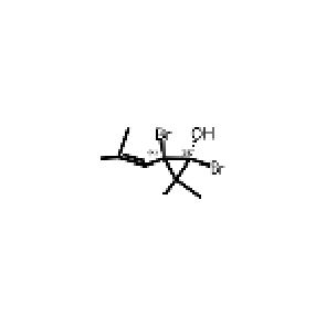 CC(C)=C[C@@]1(Br)C(C)(C)[C@]1(O)Br